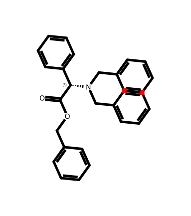 O=C(OCc1ccccc1)[C@H](c1ccccc1)N(Cc1ccccc1)Cc1ccccc1